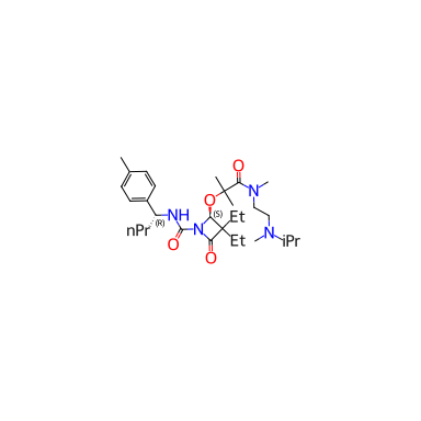 CCC[C@@H](NC(=O)N1C(=O)C(CC)(CC)[C@@H]1OC(C)(C)C(=O)N(C)CCN(C)C(C)C)c1ccc(C)cc1